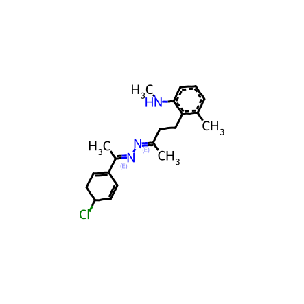 CNc1cccc(C)c1CC/C(C)=N/N=C(\C)C1=CCC(Cl)C=C1